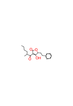 CCCCC(C)C(=O)C1=C(O)C(CCc2ccccc2)OC1=O